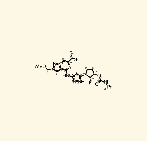 COCc1cc2c(Nc3cc([C@H]4CC[C@@H](OC(=O)NC(C)C)[C@@H]4F)[nH]n3)nc(C(F)F)cn2n1